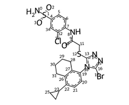 NS(=O)(=O)c1ccc(NC(=O)CSc2nnc(Br)n2-c2ccc(C3CC3)c3c2CCCC3)c(Cl)c1